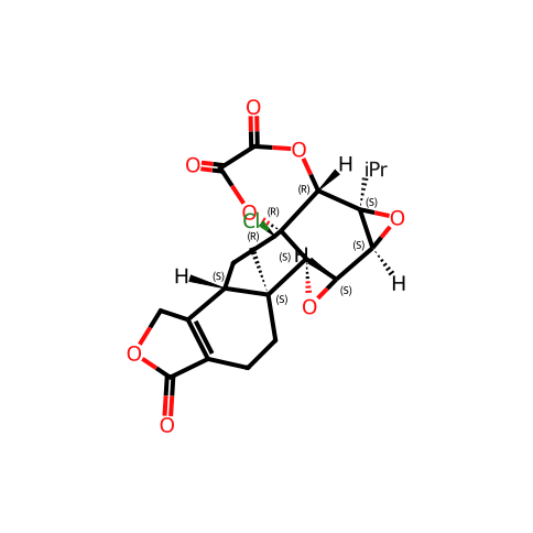 CC(C)[C@]12O[C@H]1[C@@H]1O[C@]13[C@@]1(OC(=O)C(=O)O[C@H]21)[C@H](Cl)C[C@H]1C2=C(CC[C@@]13C)C(=O)OC2